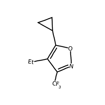 CCc1c(C(F)(F)F)noc1C1CC1